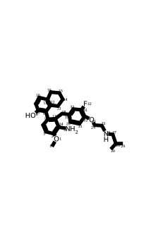 COc1ccc(-c2c(O)ccc3c2CCCC3)c(Cc2ccc(OCCNCC(C)C)c(F)c2)c1N